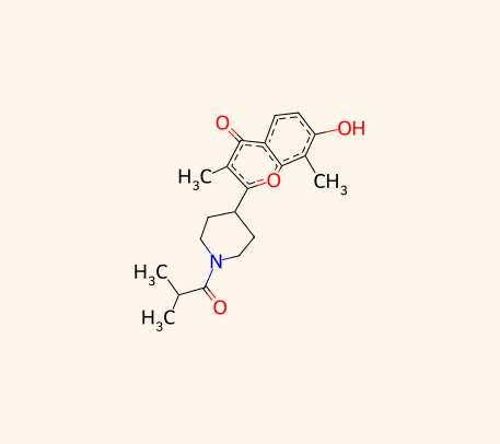 Cc1c(C2CCN(C(=O)C(C)C)CC2)oc2c(C)c(O)ccc2c1=O